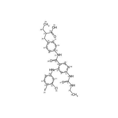 CCNC(=O)Nc1cc(Nc2ccc(F)c(Cl)c2)c(C(=O)Nc2ccc(CC(CC)C(=O)O)cc2)cn1